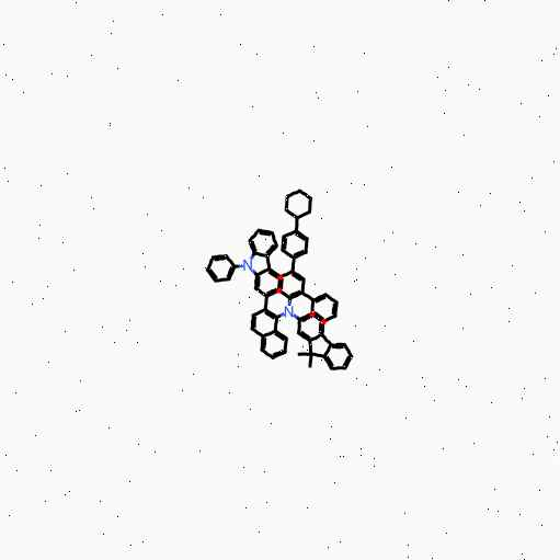 CC1(C)c2ccccc2-c2ccc(N(c3ccc(-c4ccc(C5CCCCC5)cc4)cc3-c3ccccc3)c3c(-c4ccc5c6ccccc6n(-c6ccccc6)c5c4)ccc4ccccc34)cc21